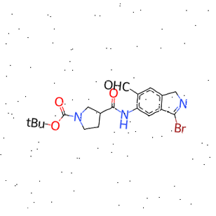 CC(C)(C)OC(=O)N1CCC(C(=O)Nc2cc3c(cc2C=O)CN=C3Br)C1